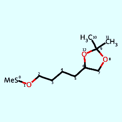 CSOCCCCC1COC(C)(C)O1